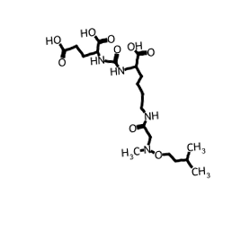 CC(C)CCON(C)CC(=O)NCCCCC(NC(=O)NC(CCC(=O)O)C(=O)O)C(=O)O